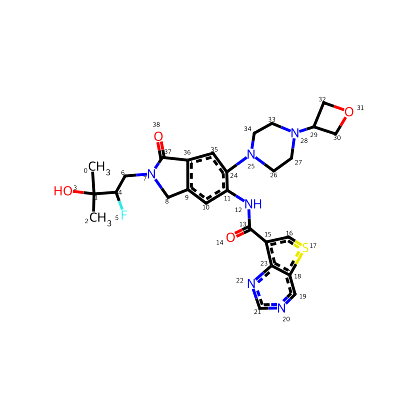 CC(C)(O)C(F)CN1Cc2cc(NC(=O)c3csc4cncnc34)c(N3CCN(C4COC4)CC3)cc2C1=O